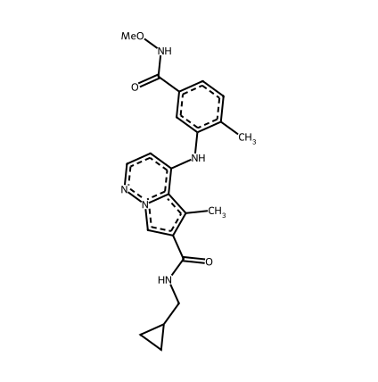 CONC(=O)c1ccc(C)c(Nc2ccnn3cc(C(=O)NCC4CC4)c(C)c23)c1